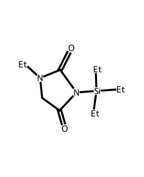 CCN1CC(=O)N([Si](CC)(CC)CC)C1=O